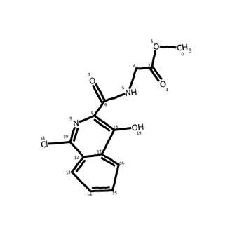 COC(=O)CNC(=O)c1nc(Cl)c2ccccc2c1O